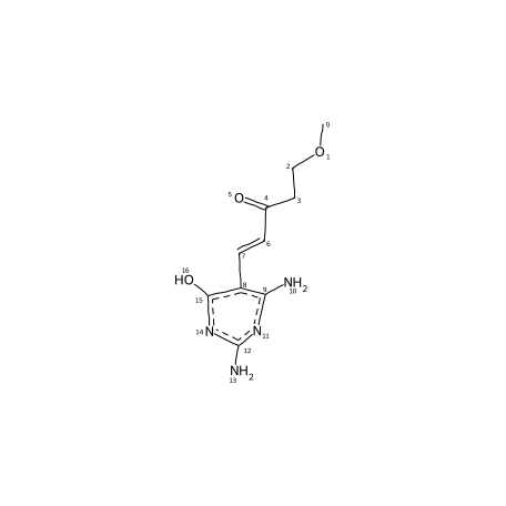 COCCC(=O)/C=C/c1c(N)nc(N)nc1O